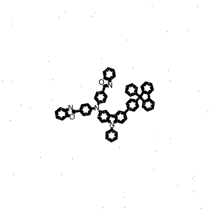 c1ccc(-n2c3ccc(-c4ccc(C5(c6ccccc6)c6ccccc6-c6ccccc65)cc4)cc3c3cc(N(c4ccc(-c5nc6ccccc6o5)cc4)c4ccc(-c5nc6ccccc6o5)cc4)ccc32)cc1